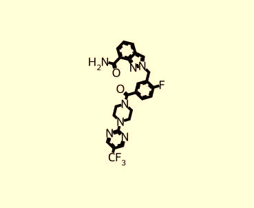 NC(=O)c1cccc2cn(Cc3cc(C(=O)N4CCN(c5ncc(C(F)(F)F)cn5)CC4)ccc3F)nc12